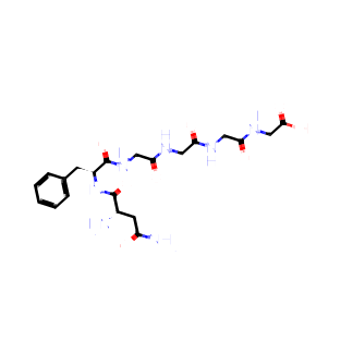 NC(=O)C[C@H](N)C(=O)N[C@@H](Cc1ccccc1)C(=O)NCC(=O)NCC(=O)NCC(=O)NCC(=O)O